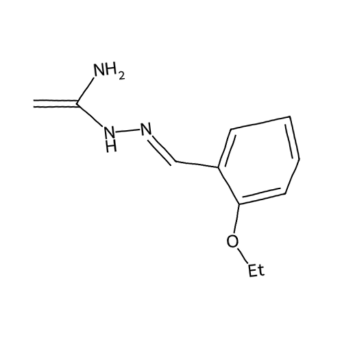 C=C(N)N/N=C/c1ccccc1OCC